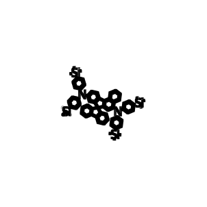 C[Si](C)(C)c1ccc(N(c2ccc([Si](C)(C)C)cc2)c2ccc3c(c2)C2(c4ccccc4-c4ccccc42)c2cc(N(c4ccc([Si](C)(C)C)cc4)c4ccc([Si](C)(C)C)cc4)c4ccccc4c2-3)cc1